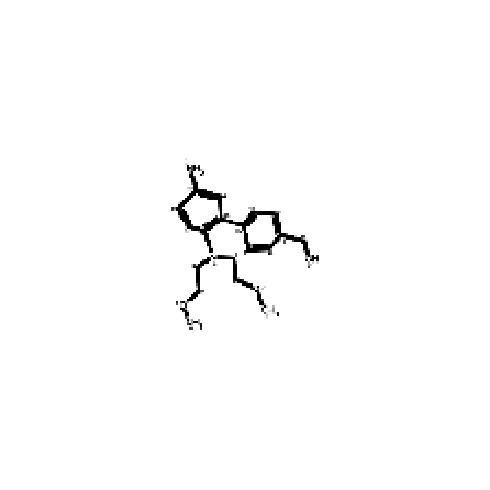 COCCN(CCOC)c1ccc(N)cc1-c1ccc(CO)cc1